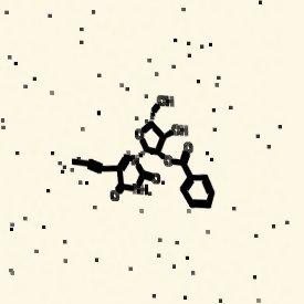 CC#Cc1cn([C@@H]2O[C@H](CO)[C@@H](O)[C@H]2OC(=O)c2ccccc2)c(=O)[nH]c1=O